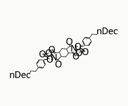 CCCCCCCCCCCCc1ccc(S(=O)(=O)ON2C(=O)C3CC4C(=O)N(OS(=O)(=O)c5ccc(CCCCCCCCCCCC)cc5)C(=O)C4CC3C2=O)cc1